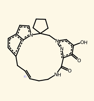 O=C1NCC/C=C/Cc2ccc3ccn(c3c2)C2(CCCC2)Cn2cc(O)c(=O)c1n2